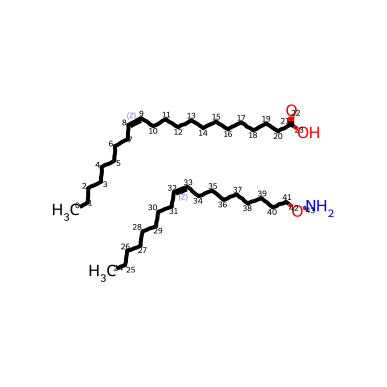 CCCCCCCC/C=C\CCCCCCCCCCCC(=O)O.CCCCCCCC/C=C\CCCCCCCCON